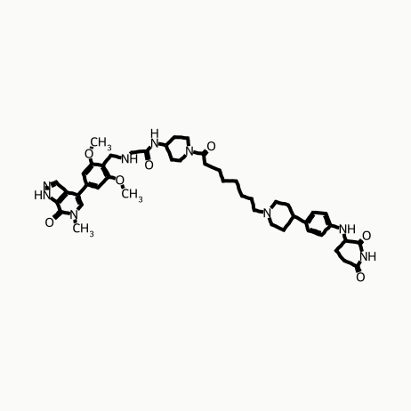 COc1cc(-c2cn(C)c(=O)c3[nH]ncc23)cc(OC)c1CNCC(=O)NC1CCN(C(=O)CCCCCCCN2CCC(c3ccc(NC4CCC(=O)NC4=O)cc3)CC2)CC1